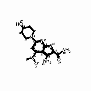 C[S+]([O-])c1cc(N2CCC(O)CC2)nc2sc(C(N)=O)c(N)c12